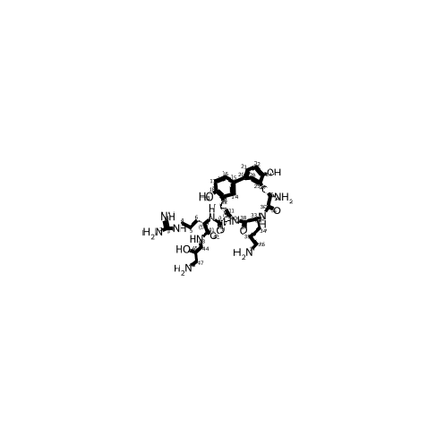 N=C(N)NCCC[C@H](NC(=O)[C@@H]1Cc2cc(ccc2O)-c2ccc(O)c(c2)C[C@H](N)C(=O)N[C@@H](CCCN)C(=O)N1)C(=O)NCC(O)CN